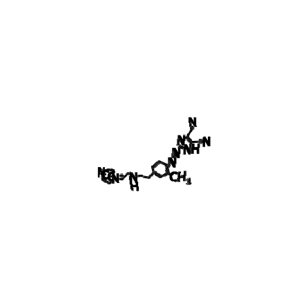 Cc1cc(CCNCC[N+]23CCN(CC2)CC3)ccc1N=Nc1nc(C#N)c(C#N)[nH]1